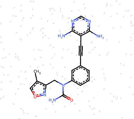 Cc1conc1CN(C(N)=O)c1cccc(C#Cc2c(N)ncnc2N)c1